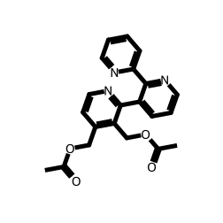 CC(=O)OCc1ccnc(-c2cccnc2-c2ccccn2)c1COC(C)=O